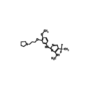 CNc1nc(Nc2ccc(OC)c(OCCCN3CCCC3)c2)ncc1C(C)(F)F